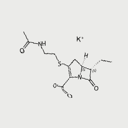 CC[C@@H]1C(=O)N2C(C(=O)[O-])=C(SCCNC(C)=O)C[C@@H]12.[K+]